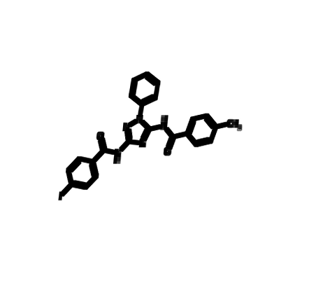 Cc1ccc(C(=O)Nc2nc(NC(=O)c3ccc(I)cc3)nn2-c2ccccc2)cc1